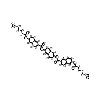 O=C(CCCCC1CO1)Oc1ccc2cc(C(=O)Oc3ccc4cc(OC(=O)c5ccc6cc(OC(=O)CCCCC7CO7)ccc6c5)ccc4c3)ccc2c1